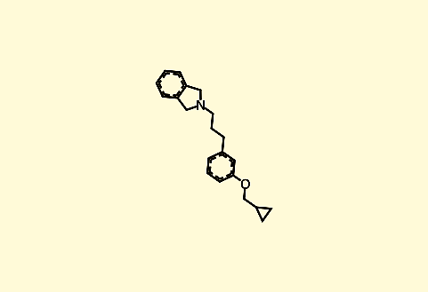 c1cc(CCCN2Cc3ccccc3C2)cc(OCC2CC2)c1